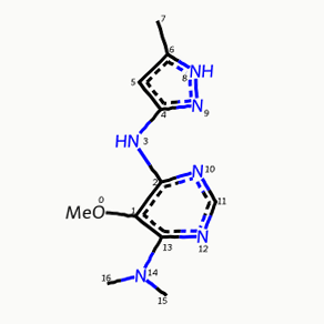 COc1c(Nc2cc(C)[nH]n2)ncnc1N(C)C